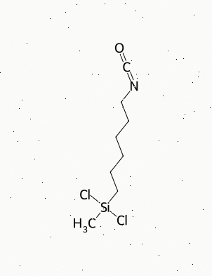 C[Si](Cl)(Cl)CCCCCCN=C=O